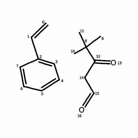 C=Cc1ccccc1.CC(C)(C)C(=O)CC=O